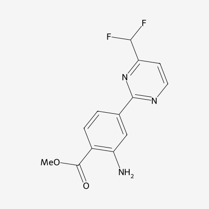 COC(=O)c1ccc(-c2nccc(C(F)F)n2)cc1N